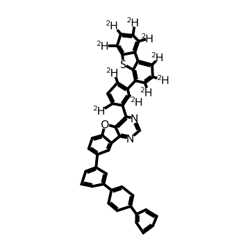 [2H]c1cc([2H])c(-c2c([2H])c([2H])c([2H])c3c2sc2c([2H])c([2H])c([2H])c([2H])c23)c([2H])c1-c1ncnc2c1oc1ccc(-c3cccc(-c4ccc(-c5ccccc5)cc4)c3)cc12